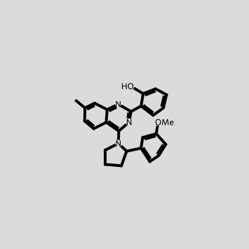 COc1cccc(C2CCCN2c2nc(-c3ccccc3O)nc3cc(C)ccc23)c1